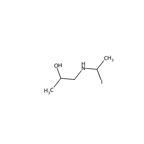 CC(O)CNC(C)I